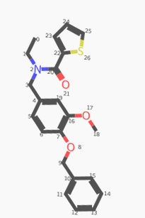 [CH2]CN(Cc1ccc(OCc2ccccc2)c(OC)c1)C(=O)c1cccs1